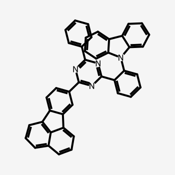 c1ccc(-c2nc(-c3ccc4c(c3)-c3cccc5cccc-4c35)nc(-c3ccccc3-n3c4ccccc4c4ccccc43)n2)cc1